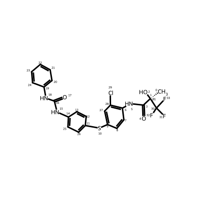 C[C@@](O)(C(=O)Nc1ccc(Sc2ccc(NC(=O)Nc3ccccc3)cc2)cc1Cl)C(F)(F)F